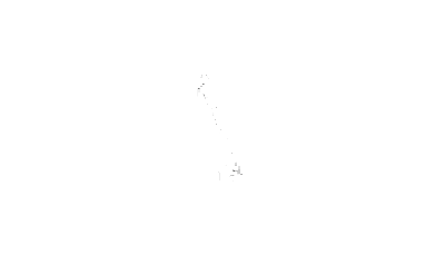 C[Si](Cl)(Cl)CCCCCCCCCCCCCN=C=O